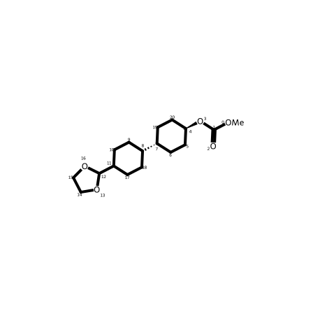 COC(=O)O[C@H]1CC[C@H](C2CCC(C3OCCO3)CC2)CC1